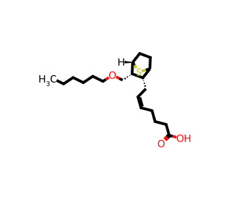 CCCCCCOC[C@@H]1[C@@H]2CCC(S2)[C@@H]1C/C=C\CCCC(=O)O